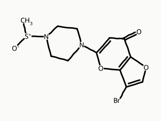 C[S+]([O-])N1CCN(c2cc(=O)c3occ(Br)c3o2)CC1